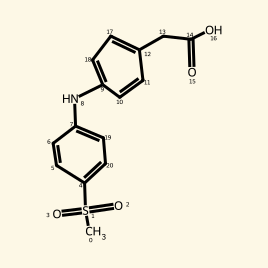 CS(=O)(=O)c1ccc(Nc2ccc(CC(=O)O)cc2)cc1